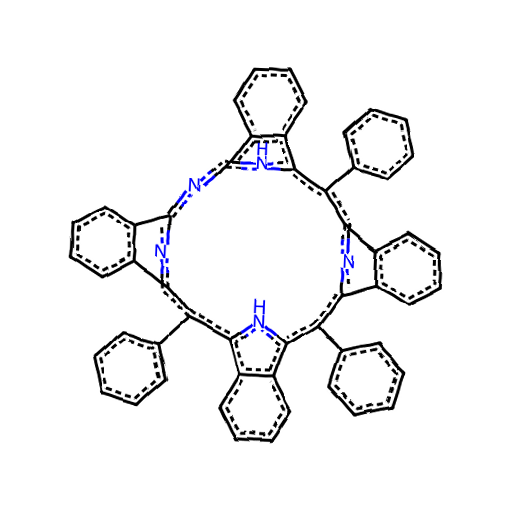 c1ccc(-c2c3nc(c(-c4ccccc4)c4[nH]c(c(-c5ccccc5)c5nc(nc6[nH]c2c2ccccc62)-c2ccccc2-5)c2ccccc42)-c2ccccc2-3)cc1